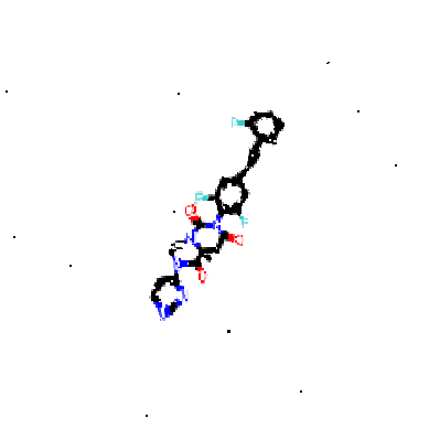 CC12CC(=O)N(c3c(F)cc(C#Cc4ccccc4F)cc3F)C(=O)N1CCN(c1ccncn1)C2=O